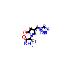 CCC(C(N)=O)N1CC(Cn2cnnn2)CC1=O